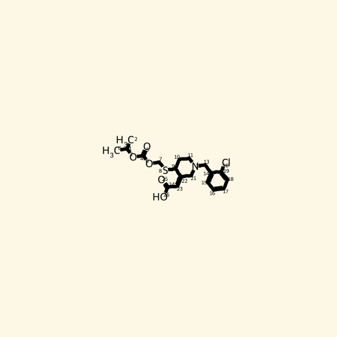 CC(C)OC(=O)OCSC1CCN(Cc2ccccc2Cl)C/C1=C/C(=O)O